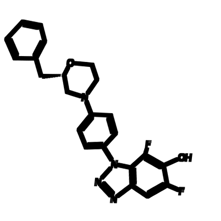 Oc1c(F)cc2nnn(-c3ccc(N4CCO[C@@H](Cc5ccccc5)C4)cc3)c2c1F